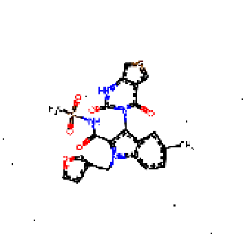 Cc1ccc2c(c1)c(-n1c(=O)[nH]c3cscc3c1=O)c(C(=O)NS(C)(=O)=O)n2Cc1ccoc1